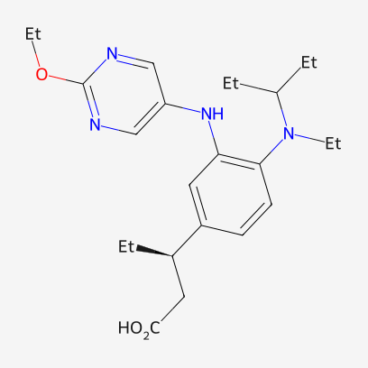 CCOc1ncc(Nc2cc([C@H](CC)CC(=O)O)ccc2N(CC)C(CC)CC)cn1